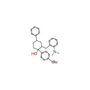 CN(C)c1ccccc1CC1CC(c2ccccc2)CCC1(O)c1ccc(C(C)(C)C)cc1